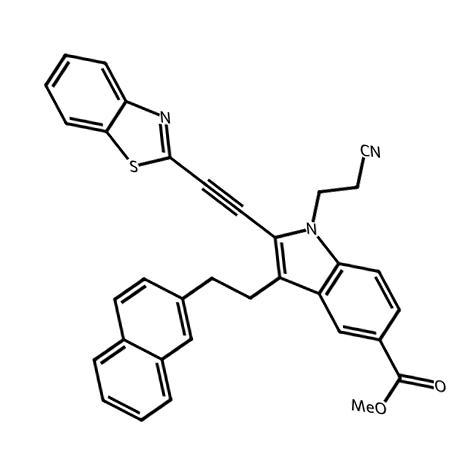 COC(=O)c1ccc2c(c1)c(CCc1ccc3ccccc3c1)c(C#Cc1nc3ccccc3s1)n2CCC#N